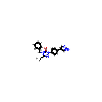 Cc1nn(-c2ccc(-c3cn[nH]c3)cc2)c(=O)n1Cc1ccccc1